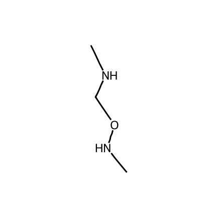 CNCONC